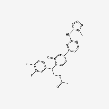 CC(=O)OCC(c1ccc(Cl)c(F)c1)n1ccc(-c2ccnc(Nc3ccnn3C)n2)cc1=O